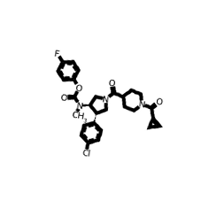 CN(C(=O)Oc1ccc(F)cc1)[C@H]1CN(C(=O)C2CCN(C(=O)C3=CC3)CC2)C[C@@H]1c1ccc(Cl)cc1